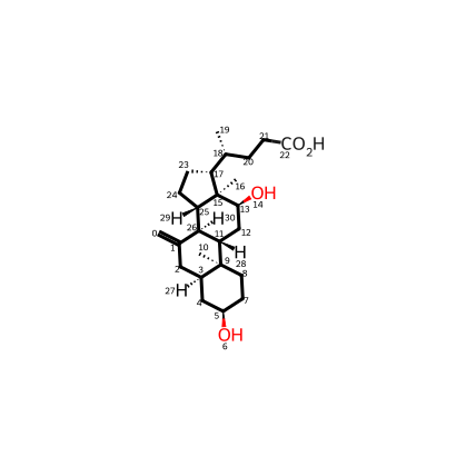 C=C1C[C@@H]2C[C@H](O)CC[C@]2(C)[C@H]2C[C@H](O)[C@]3(C)[C@@H]([C@H](C)CCC(=O)O)CC[C@H]3[C@H]12